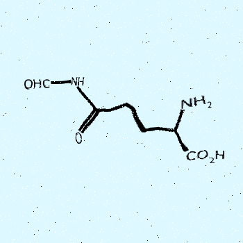 NC(CCC(=O)NC=O)C(=O)O